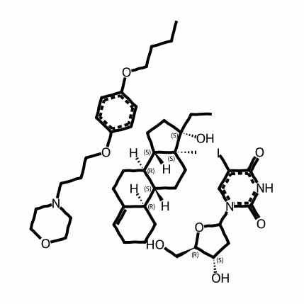 CCCCOc1ccc(OCCCN2CCOCC2)cc1.CC[C@]1(O)CC[C@H]2[C@@H]3CCC4=CCCC[C@@H]4[C@H]3CC[C@@]21C.O=c1[nH]c(=O)n(C2C[C@H](O)[C@@H](CO)O2)cc1I